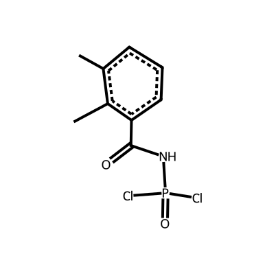 Cc1cccc(C(=O)NP(=O)(Cl)Cl)c1C